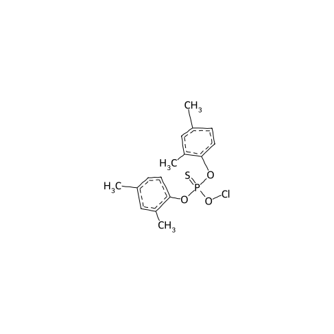 Cc1ccc(OP(=S)(OCl)Oc2ccc(C)cc2C)c(C)c1